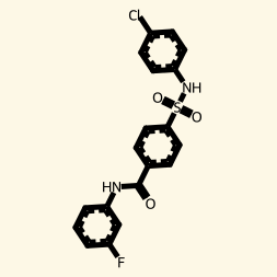 O=C(Nc1cccc(F)c1)c1ccc(S(=O)(=O)Nc2ccc(Cl)cc2)cc1